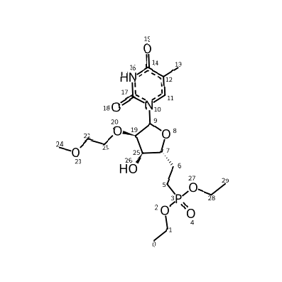 CCOP(=O)(CC[C@H]1OC(n2cc(C)c(=O)[nH]c2=O)[C@H](OCCOC)[C@@H]1O)OCC